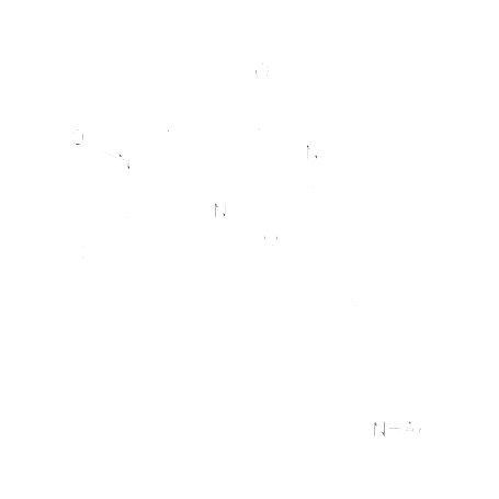 CC(=O)Nc1ccc2oc(N(C)C(=O)c3nc4ccccc4[n+]([O-])c3C)cc2c1